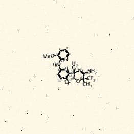 COc1cccnc1Nc1ccc(F)c(C2(C)COC(C)(C(F)(F)F)C(N)=N2)n1